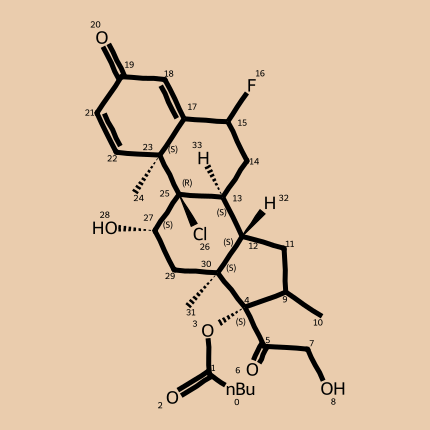 CCCCC(=O)O[C@@]1(C(=O)CO)C(C)C[C@H]2[C@@H]3CC(F)C4=CC(=O)C=C[C@]4(C)[C@@]3(Cl)[C@@H](O)C[C@@]21C